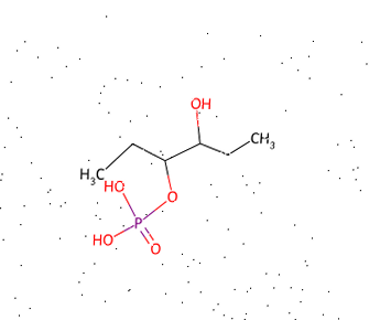 CCC(O)C(CC)OP(=O)(O)O